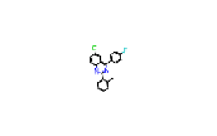 Cc1ccccc1-c1nc(-c2ccc(F)cc2)c2cc(Cl)ccc2n1